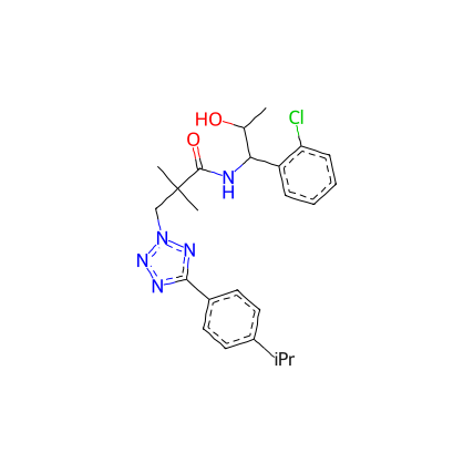 CC(C)c1ccc(-c2nnn(CC(C)(C)C(=O)NC(c3ccccc3Cl)C(C)O)n2)cc1